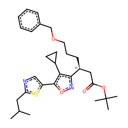 CC(C)Cc1ncc(-c2onc([C@@H](CCCOCc3ccccc3)CC(=O)OC(C)(C)C)c2C2CC2)s1